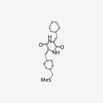 CSCc1ccc(/C=c2\[nH]c(=O)/c(=C/c3ccccc3)[nH]c2=O)cc1